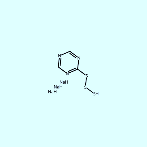 SSSc1ncncn1.[NaH].[NaH].[NaH]